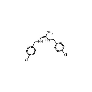 O=[N+]([O-])C(=CNCc1ccc(Cl)cc1)NCc1ccc(Cl)cc1